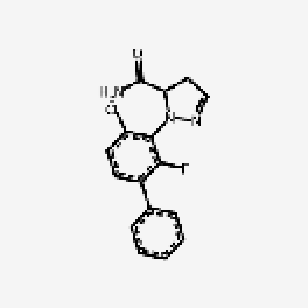 NC(=O)C1CC=NN1c1c(Cl)ccc(-c2ccccc2)c1F